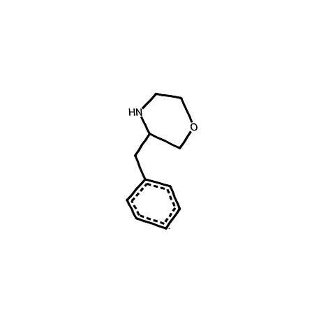 [c]1ccc(CC2COCCN2)cc1